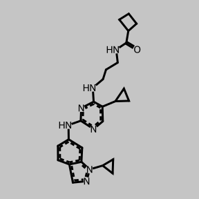 O=C(NCCCNc1nc(Nc2ccc3cnn(C4CC4)c3c2)ncc1C1CC1)C1CCC1